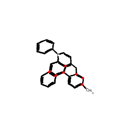 CCCCCC(/C=C\P(c1ccccc1)c1ccccc1)=C\P(c1ccccc1)c1ccccc1